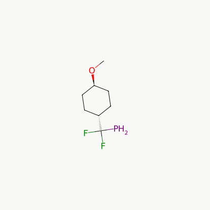 CO[C@H]1CC[C@H](C(F)(F)P)CC1